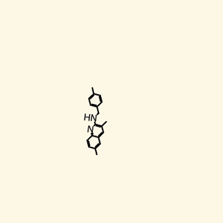 Cc1ccc(CNc2nc3ccc(C)cc3cc2C)cc1